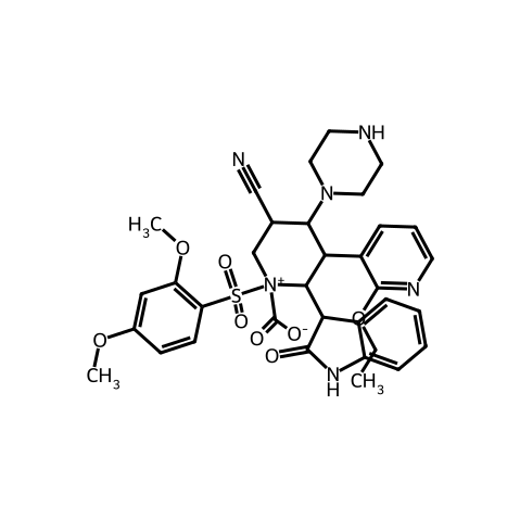 CCOc1ncccc1C1C(N2CCNCC2)C(C#N)C[N+](C(=O)[O-])(S(=O)(=O)c2ccc(OC)cc2OC)C1C1C(=O)Nc2ccccc21